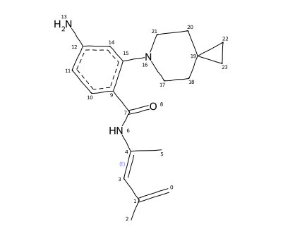 C=C(C)/C=C(\C)NC(=O)c1ccc(N)cc1N1CCC2(CC1)CC2